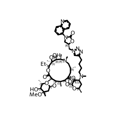 CC[C@H]1OC(=O)[C@H](C)[C@@H](O[C@H]2C[C@@](C)(OC)[C@@H](O)[C@H](C)O2)[C@H](C)[C@@H](O[C@@H]2O[C@H](C)C[C@H](N(C)CCCCc3cn(C[C@H]4CN(c5cccc6ncccc56)C(=O)O4)nn3)[C@H]2O)[C@](C)(O)C[C@@H](C)CN(C)[C@H](C)[C@@H](O)[C@]1(C)O